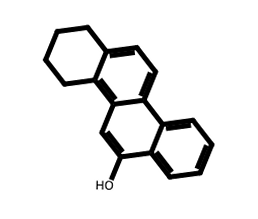 Oc1cc2c3c(ccc2c2ccccc12)CCCC3